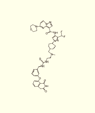 CN(CCNC(=O)NCc1cccc(Oc2cccc3c2C(=O)NC(=O)C3)c1)CC1CCC(n2cc(NC(=O)c3cnn4ccc(N5CCOCC5)nc34)c(C(F)F)n2)CC1